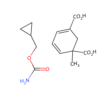 CC1(C(=O)O)C=CC=C(C(=O)O)C1.NC(=O)OCC1CC1